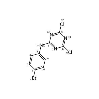 CCc1ccc(Nc2nc(Cl)nc(Cl)n2)cc1